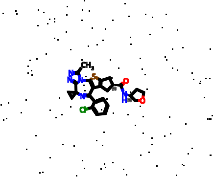 Cc1nnc2n1-c1sc3c(c1C(c1ccccc1Cl)=NC21CC1)C[C@H](C(=O)N[C@H]1CCOC1)C3